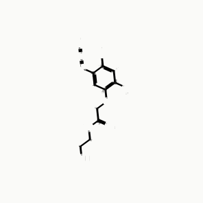 CCCOC(=O)CSc1cc(N=C=S)c(F)cc1Cl